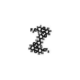 FC(F)(F)c1ccc2c(c1)N1c3ccc(-c4ccc5c(c4)Oc4cccc6c4N5c4cc(C(F)(F)F)ccc4O6)cc3Oc3cccc(c31)O2